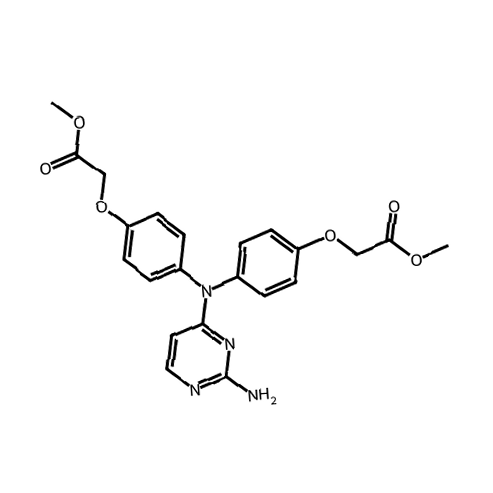 COC(=O)COc1ccc(N(c2ccc(OCC(=O)OC)cc2)c2ccnc(N)n2)cc1